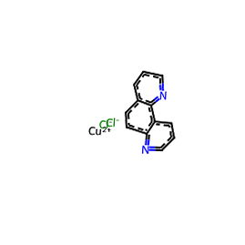 [Cl-].[Cl-].[Cu+2].c1cnc2c(c1)ccc1ncccc12